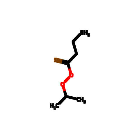 CC(C)OOC(=S)CC[SiH3]